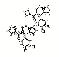 O=C(C1CCC1)N1CCn2cccc2C1c1ccc(Cl)c(Cl)c1.O=C(c1cccs1)N1CCn2cccc2C1c1ccc(Cl)c(Cl)c1